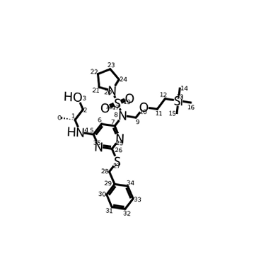 C[C@H](CO)Nc1cc(N(COCC[Si](C)(C)C)S(=O)(=O)N2CCCC2)nc(SCc2ccccc2)n1